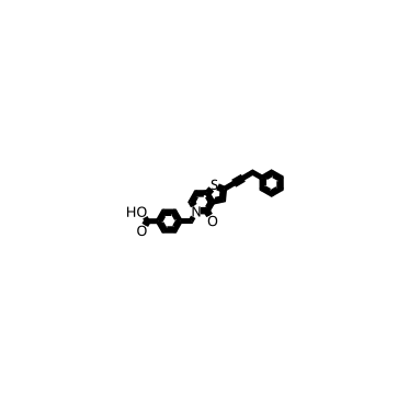 O=C(O)c1ccc(Cn2ccc3sc(C#CCc4ccccc4)cc3c2=O)cc1